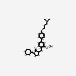 CN(C)CCCOc1ccc(-c2ccc(CC3CCN(C4CCCCC4)C3=O)c(Cl)c2)cc1.Cl